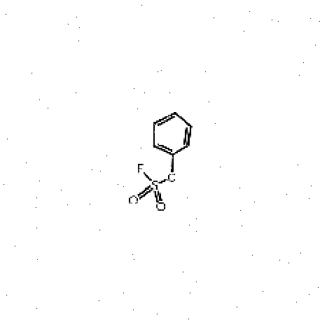 O=S(=O)(F)Oc1cc[c]cc1